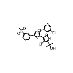 CC(C)(O)c1nn(-c2c(Cl)cncc2Cl)c(-c2ccc(-c3cccc(S(C)(=O)=O)c3)s2)c1Cl